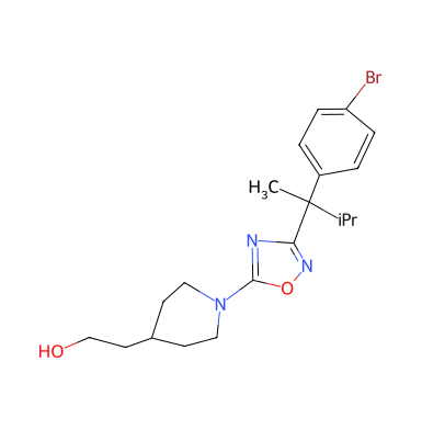 CC(C)C(C)(c1ccc(Br)cc1)c1noc(N2CCC(CCO)CC2)n1